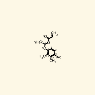 C=CC(=O)OC(CCCCCC)Oc1ccc(C(C)=O)c(C)c1C